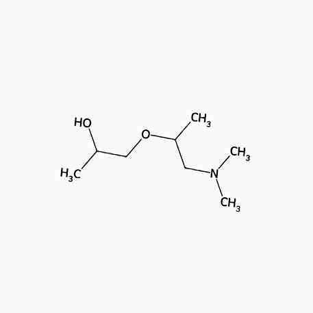 CC(O)COC(C)CN(C)C